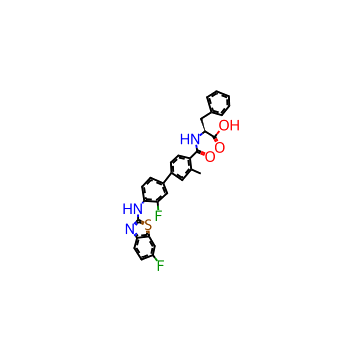 Cc1cc(-c2ccc(Nc3nc4ccc(F)cc4s3)c(F)c2)ccc1C(=O)N[C@@H](Cc1ccccc1)C(=O)O